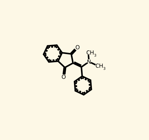 CN(C)C(=C1C(=O)c2ccccc2C1=O)c1ccccc1